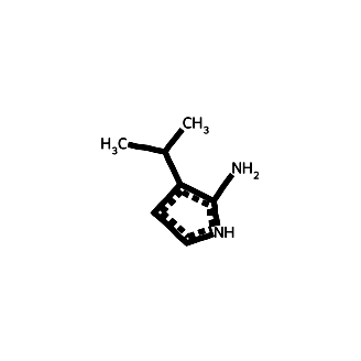 CC(C)c1cc[nH]c1N